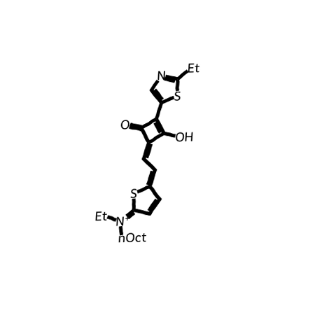 CCCCCCCC/[N+](CC)=C1C=C/C(=C/C=C2/C(=O)C(c3cnc(CC)s3)=C2O)S\1